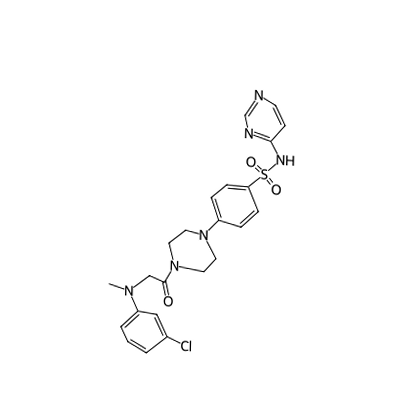 CN(CC(=O)N1CCN(c2ccc(S(=O)(=O)Nc3ccncn3)cc2)CC1)c1cccc(Cl)c1